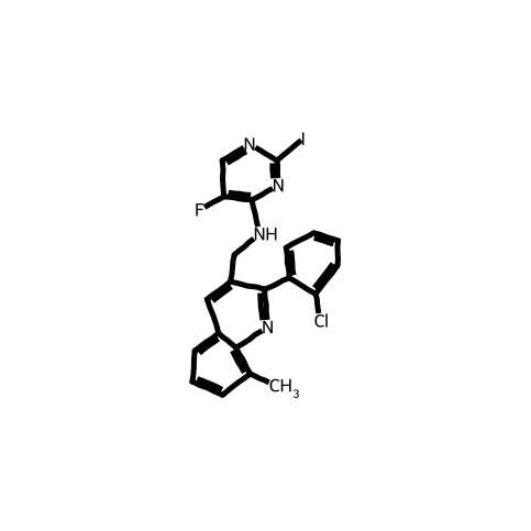 Cc1cccc2cc(CNc3nc(I)ncc3F)c(-c3ccccc3Cl)nc12